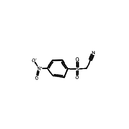 N#CCS(=O)(=O)c1ccc([N+](=O)[O-])cc1